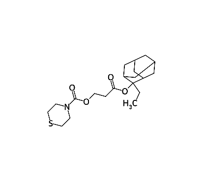 CCC1(OC(=O)CCOC(=O)N2CCSCC2)C2CC3CC(C2)CC1C3